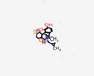 CC1CC1C[N+]1(C)CC[C@]23c4c5ccc(O)c4O[C@H]2C(=O)CCC3(O)[C@H]1C5